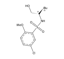 CC[C@H](C)[C@@H](CO)NS(=O)(=O)c1cc(Cl)ccc1OC